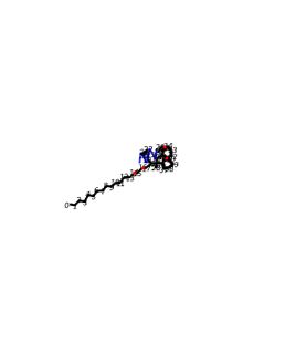 CCCCCCCCCCCCCCCCCCC(c1nccn1CCC)C(C)(Cc1ccccc1)c1ccccc1